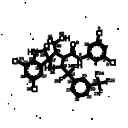 O=C(Nc1cc(Cl)cc(Cl)c1)C1C(C(F)(F)c2cccc(C(F)(F)F)c2)NC2(C(=O)Nc3c(Cl)cc(Cl)cc32)C1C(=O)O